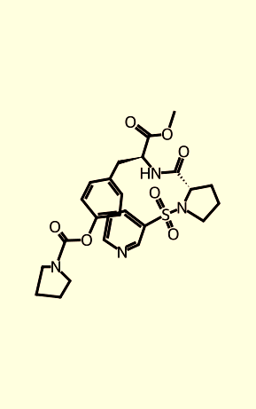 COC(=O)[C@H](Cc1ccc(OC(=O)N2CCCC2)cc1)NC(=O)[C@@H]1CCCN1S(=O)(=O)c1cccnc1